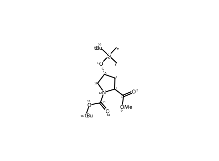 COC(=O)C1C[C@@H](O[Si](C)(C)C(C)(C)C)CN1C(=O)OC(C)(C)C